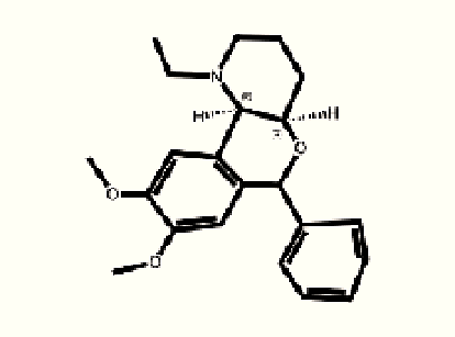 CCN1CCC[C@H]2OC(c3ccccc3)c3cc(OC)c(OC)cc3[C@H]21